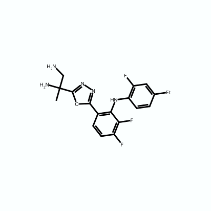 CCc1ccc(Nc2c(-c3nnc(C(C)(N)CN)o3)ccc(F)c2F)c(F)c1